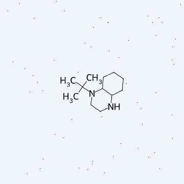 CC(C)(C)N1CCNC2CCCCC21